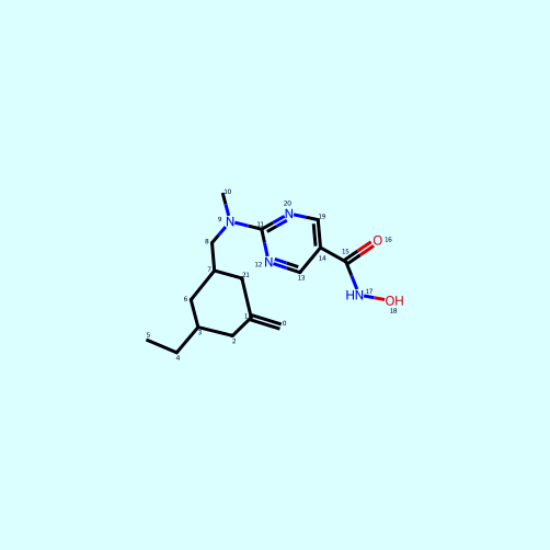 C=C1CC(CC)CC(CN(C)c2ncc(C(=O)NO)cn2)C1